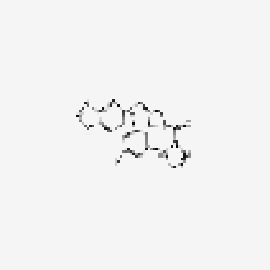 O=C(N1CC(=Cc2ccc3[nH]cnc3c2)C1)N1N=CC[C@H]1c1cc(F)cc(F)c1